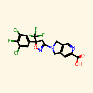 O=C(O)c1cc2c(cn1)CN(C1=NOC(c3cc(Cl)c(F)c(Cl)c3)(C(F)(F)F)C1)C2